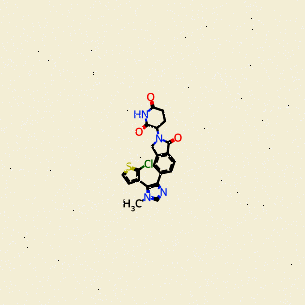 Cn1cnc(-c2ccc3c(c2)CN(C2CCC(=O)NC2=O)C3=O)c1-c1ccsc1Cl